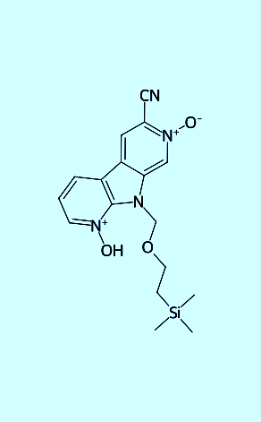 C[Si](C)(C)CCOCn1c2c[n+]([O-])c(C#N)cc2c2ccc[n+](O)c21